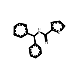 O=C(NC(c1ccccc1)c1ccccc1)c1ccco1